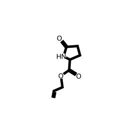 C=CCOC(=O)C1CCC(=O)N1